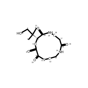 CC(C)(CO)[C@H]1OC(=O)C(=O)SCCNC(=O)CCNC1=O